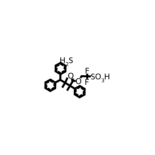 CC(C(=O)OCC(F)(F)S(=O)(=O)O)(c1ccccc1)C(C)(C)C(c1ccccc1)c1ccccc1.S